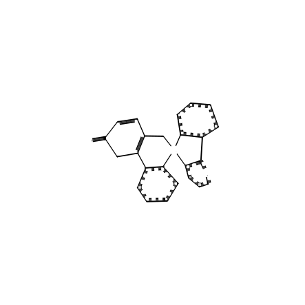 O=C1C=CC2=C(C1)c1ccccc1[Si]1(C2)c2ccccc2-c2ccccc21